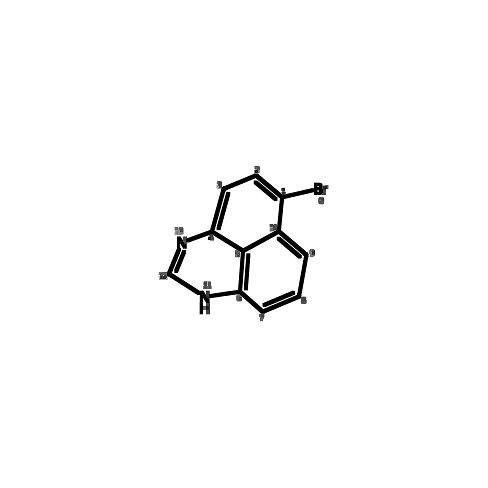 Brc1ccc2c3c(cccc13)NC=N2